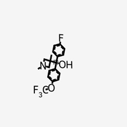 CN1CC(C)([C@](O)(c2ccc(F)cc2)c2ccc(OC(F)(F)F)cc2)C1